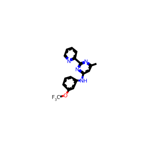 Cc1cc(Nc2cccc(OC(F)(F)F)c2)nc(-c2ccccn2)n1